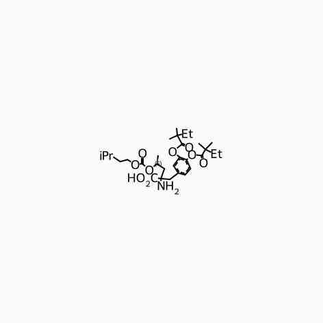 CCC(C)(C)C(=O)Oc1ccc(CC(N)(C[C@H](C)OC(=O)OCCC(C)C)C(=O)O)cc1OC(=O)C(C)(C)CC